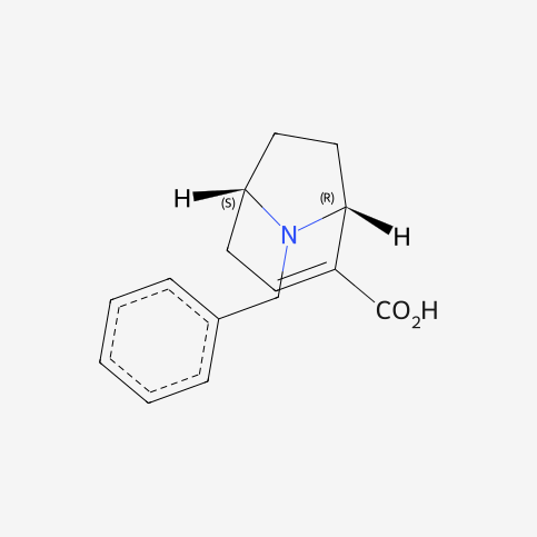 O=C(O)C1=CC[C@@H]2CC[C@H]1N2Cc1ccccc1